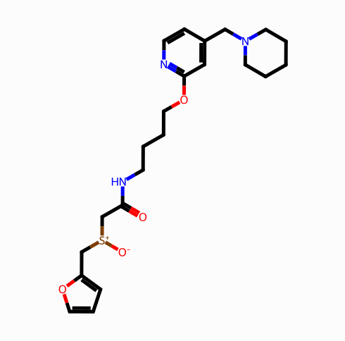 O=C(C[S+]([O-])Cc1ccco1)NCCCCOc1cc(CN2CCCCC2)ccn1